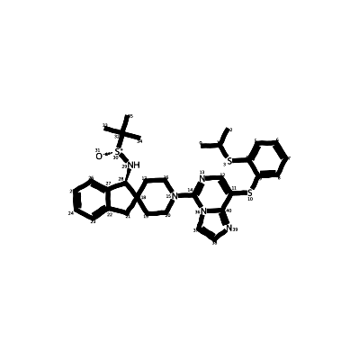 CC(C)Sc1ccccc1Sc1cnc(N2CCC3(CC2)Cc2ccccc2[C@H]3N[S@+]([O-])C(C)(C)C)n2ccnc12